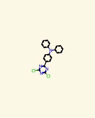 Clc1nc(Cl)nc(-c2ccc(N(c3ccccc3)c3ccccc3)cc2)n1